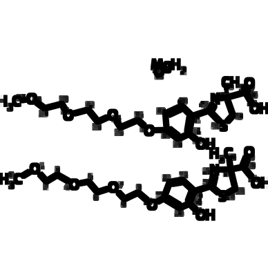 COCCOCCOCCOc1ccc(C2=NC(C)(C(=O)O)CS2)c(O)c1.COCCOCCOCCOc1ccc(C2=N[C@@](C)(C(=O)O)CS2)c(O)c1.[MgH2].[O]